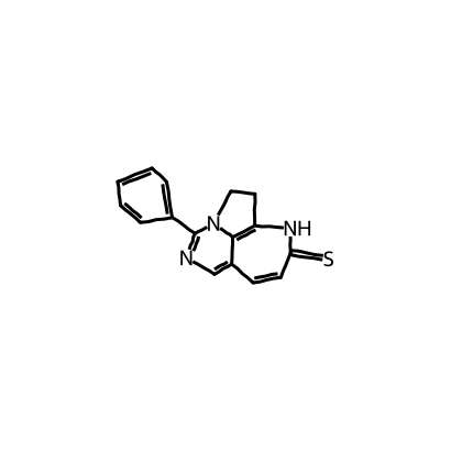 S=C1C=CC2=CN=C(c3ccccc3)N3CCC(=C23)N1